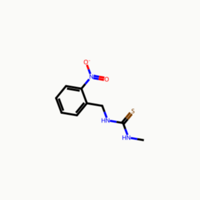 CNC(=S)NCc1ccccc1[N+](=O)[O-]